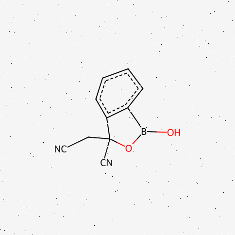 N#CCC1(C#N)OB(O)c2ccccc21